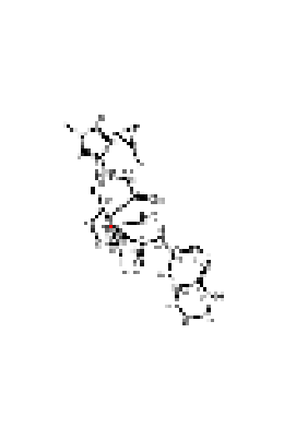 Cn1cc(N[C@H](CC2CC2)C(=O)N2[C@H]3CC[C@@H]([C@@H]2C(=O)N[C@@H](C#N)C[C@H]2CCCNC2=O)C(F)(F)C3)cn1